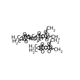 C=CCOC(=O)c1cc(C(=O)OCC=C)c(C(=O)OCC=C)cc1C(=O)O.C=CCOC(=O)c1cc(C(=O)OCC=C)c(C(=O)OCC=C)cc1C(=O)OCC=C.C=CCOC(=O)c1ccc(C(=O)O)cc1C(=O)OCC=C